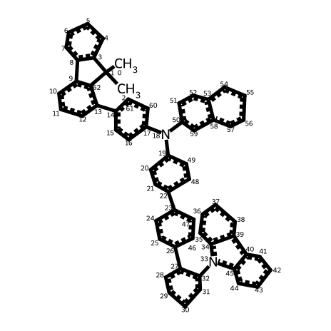 CC1(C)c2ccccc2-c2cccc(-c3ccc(N(c4ccc(-c5ccc(-c6ccccc6-n6c7ccccc7c7ccccc76)cc5)cc4)c4ccc5ccccc5c4)cc3)c21